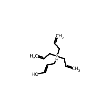 C=CC[PH](CC=C)(CC=C)CC=CO